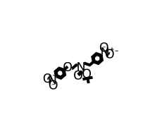 CC(C)(C)OC(=O)N(CCOc1ccc([N+](=O)[O-])cc1)CCc1ccc([N+](=O)[O-])cc1